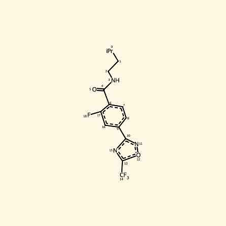 CC(C)CCNC(=O)c1ccc(-c2noc(C(F)(F)F)n2)cc1F